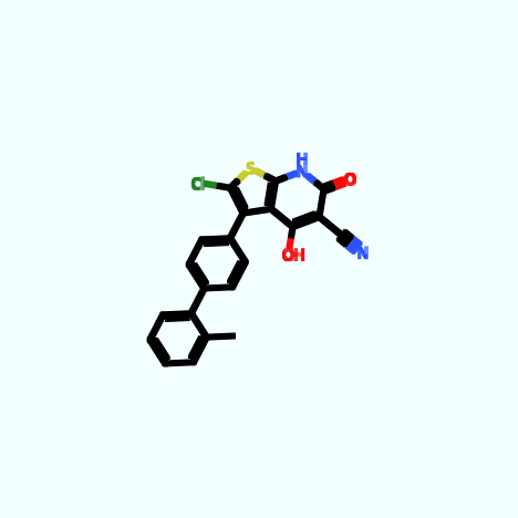 Cc1ccccc1-c1ccc(-c2c(Cl)sc3[nH]c(=O)c(C#N)c(O)c23)cc1